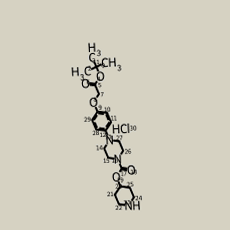 CC(C)(C)OC(=O)COc1ccc(N2CCN(C(=O)OC3CCNCC3)CC2)cc1.Cl